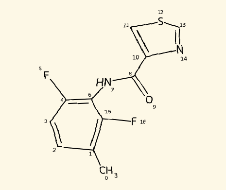 Cc1ccc(F)c(NC(=O)c2cscn2)c1F